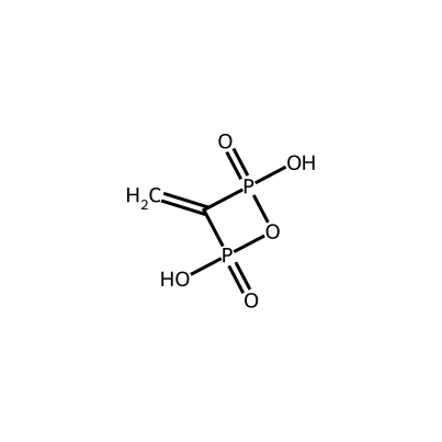 C=C1P(=O)(O)OP1(=O)O